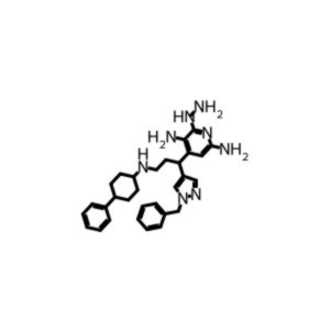 NNc1nc(N)cc(C(CCNC2CCC(c3ccccc3)CC2)c2cnn(Cc3ccccc3)c2)c1N